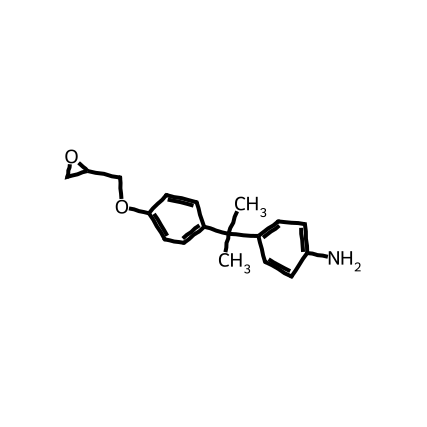 CC(C)(c1ccc(N)cc1)c1ccc(OCC2CO2)cc1